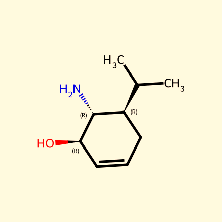 CC(C)[C@H]1CC=C[C@@H](O)[C@@H]1N